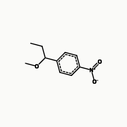 CCC(OC)c1ccc([N+](=O)[O-])cc1